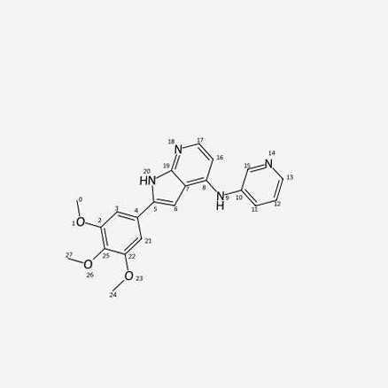 COc1cc(-c2cc3c(Nc4cccnc4)ccnc3[nH]2)cc(OC)c1OC